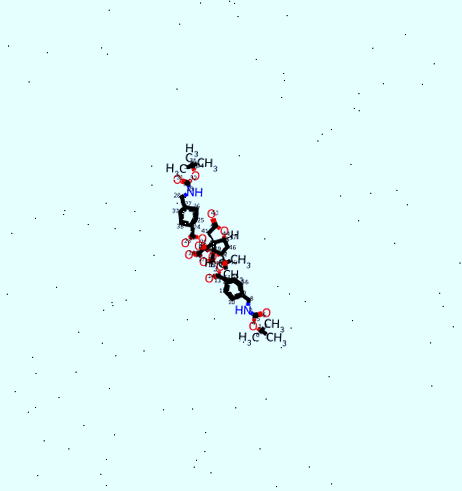 CC(C)(C)OC(=O)NCc1ccc(C(=O)O[C@@H]2OC(=O)[C@H](OC(=O)c3ccc(CNC(=O)OC(C)(C)C)cc3)[C@]23[C@@]24CC(=O)O[C@H]2C[C@]3(C(C)(C)C)OC4=O)cc1